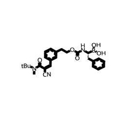 CN(C(=O)C(C#N)=Cc1cccc(CCOC(=O)N[C@@H](Cc2ccccc2)B(O)O)c1)C(C)(C)C